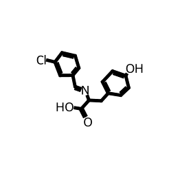 O=C(O)C(Cc1ccc(O)cc1)N=Cc1cccc(Cl)c1